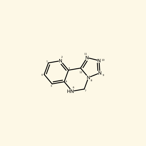 c1cnc2c(c1)NCn1nnnc1-2